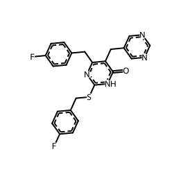 O=c1[nH]c(SCc2ccc(F)cc2)nc(Cc2ccc(F)cc2)c1Cc1cncnc1